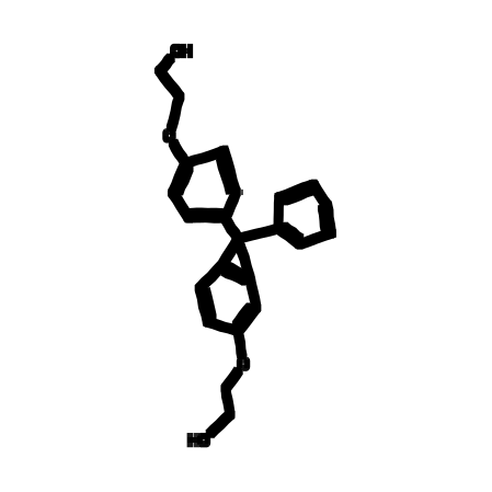 OCCOc1c[c]c(C2(c3ccccc3)c3ccc(OCCO)cc32)cc1